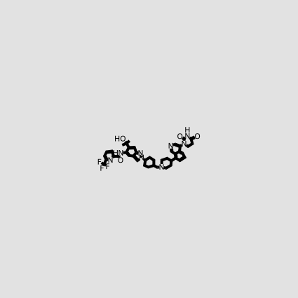 CC(C)(O)c1cc2nn(C3CCC(CN4CCC(c5cccc6c(N7CCC(=O)NC7=O)cncc56)CC4)CC3)cc2cc1NC(=O)c1cccc(C(F)(F)F)n1